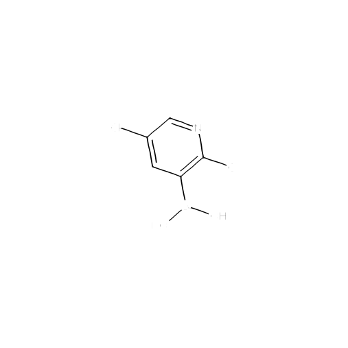 OB(O)c1cc(Cl)cnc1Cl